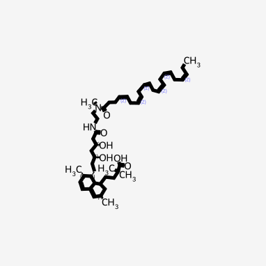 CC/C=C\C/C=C\C/C=C\C/C=C\C/C=C\C/C=C\CCC(=O)N(C)CCNC(=O)C[C@H](O)C[C@@H](O)CC[C@@H]1C2C(=C[C@H](C)CC2CCC(C)(C)C(=O)O)C=C[C@@H]1C